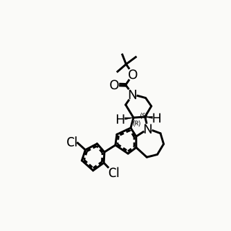 CC(C)(C)OC(=O)N1CC[C@H]2[C@@H](C1)c1cc(-c3cc(Cl)ccc3Cl)cc3c1N2CCCC3